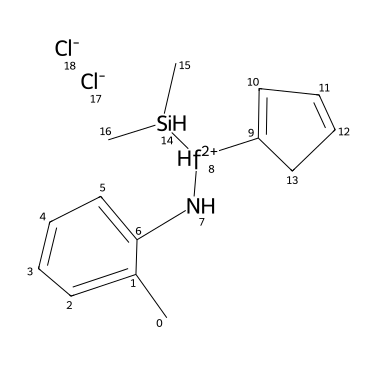 Cc1ccccc1[NH][Hf+2]([C]1=CC=CC1)[SiH](C)C.[Cl-].[Cl-]